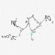 CCOC(=O)CC(C#N)c1ccc([N+](=O)[O-])cc1F